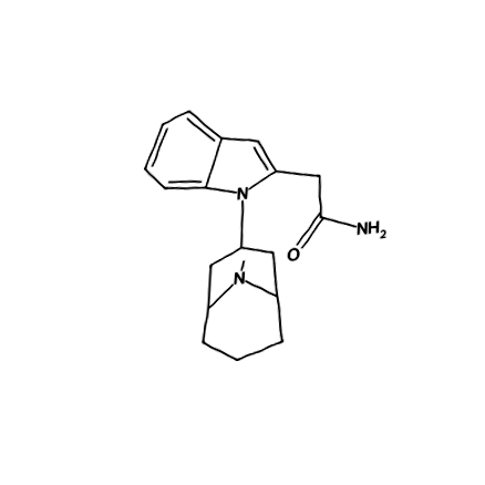 CN1C2CCCC1CC(n1c(CC(N)=O)cc3ccccc31)C2